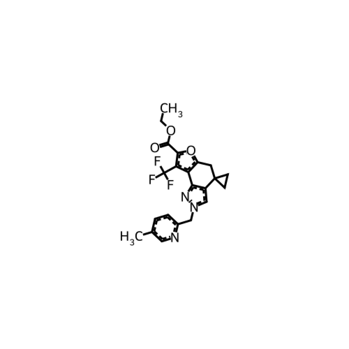 CCOC(=O)c1oc2c(c1C(F)(F)F)-c1nn(Cc3ccc(C)cn3)cc1C1(CC1)C2